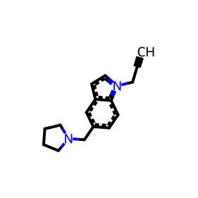 C#CCn1ccc2cc(CN3CCCC3)ccc21